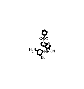 CC[C@@H]1CC(N)C[C@@H]1Nc1c(C#N)cnc2c1ccn2S(=O)(=O)c1ccccc1